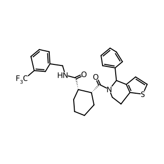 O=C(NCc1cccc(C(F)(F)F)c1)[C@H]1CCCC[C@H]1C(=O)N1CCc2sccc2C1c1ccccc1